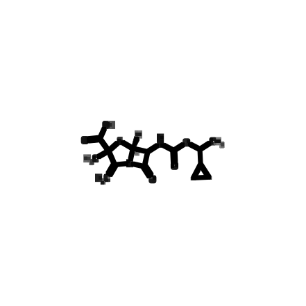 C=C1N2C(=O)C(NC(=O)OC(C)C3CC3)[C@H]2SC1(C)C(=O)O